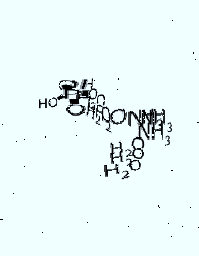 N.N.N.O.O.O.O.O.O.O=P(O)(O)O